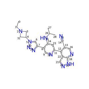 CCN1CC(n2cc(-c3cnc(-c4c(C#N)cnc5[nH]ncc45)cc3NC(C)C)nn2)C1